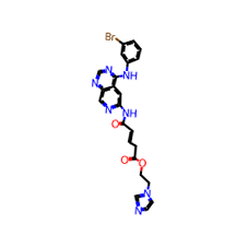 O=C(C=CCC(=O)OCCn1ccnc1)Nc1cc2c(Nc3cccc(Br)c3)ncnc2cn1